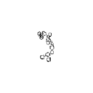 CS(=O)(=O)c1cccc(C(=O)N2CCO[C@@H](CN3CCC(Oc4ccc(Cl)c(Cl)c4)CC3)C2)c1